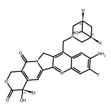 CC[C@@]1(O)C(=O)OCc2c1cc1n(c2=O)Cc2c-1nc1cc(F)c(N)cc1c2CN1C[C@H]2C[C@@H](C1)C2O